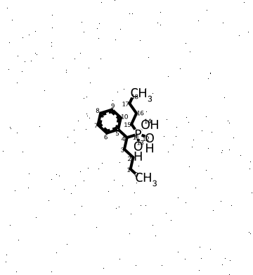 CCCCC(c1ccccc1)P(O)(O)(O)CCCC